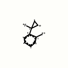 Fc1[c]cccc1C1(F)CC1